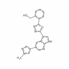 Cn1cc(-c2cnc3[nH]cc(-c4nnc(-c5ccccc5CO)o4)c3c2)cn1